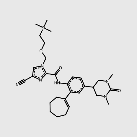 CN1CC(c2ccc(NC(=O)c3nc(C#N)cn3COCC[Si](C)(C)C)c(C3=CCCCCC3)c2)CN(C)C1=O